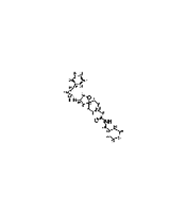 O=C(CN1CCC2(CC1)CC(N[C@@H]1C[C@H]1c1ccccc1)CO2)NCC1CCCCC1